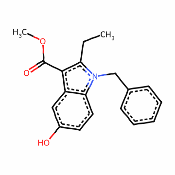 CCc1c(C(=O)OC)c2cc(O)ccc2n1Cc1ccccc1